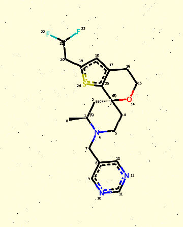 C[C@H]1C[C@@]2(CCN1Cc1cncnc1)OCCc1cc(CC(F)F)sc12